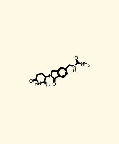 NC(=O)NCc1ccc2c(c1)CN(C1CCC(=O)NC1=O)C2=O